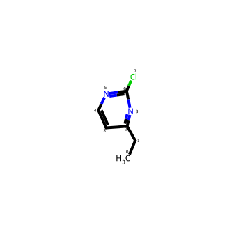 C[CH]c1ccnc(Cl)n1